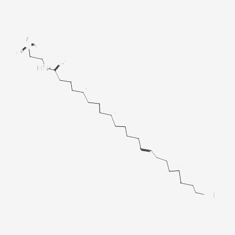 CCCCCCCCC=CCCCCCCCCCCCCC(=O)NCCS(=O)(=O)O